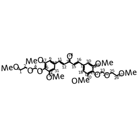 COCCOCOc1c(OC)cc(/C=C/C(=O)/C=C/c2cc(OC)c(OCOCCOC)c(OC)c2)cc1OC